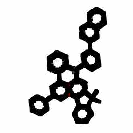 CC1(C)c2ccccc2-c2ccc(N(c3cccc(-c4ccc5ccccc5c4)c3)c3ccccc3-c3cccc(-c4ccccc4)c3)cc21